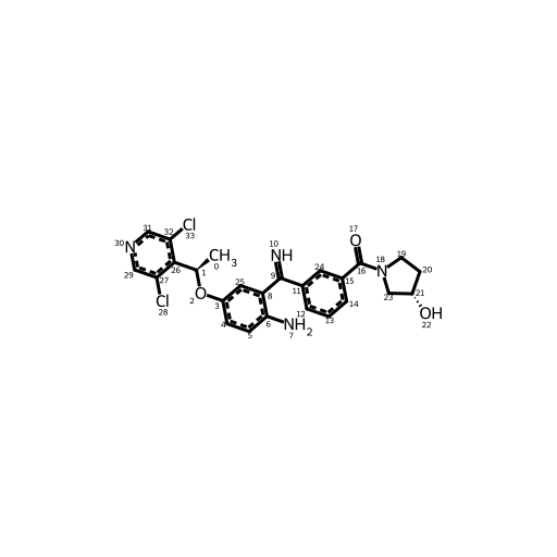 C[C@@H](Oc1ccc(N)c(C(=N)c2cccc(C(=O)N3CC[C@H](O)C3)c2)c1)c1c(Cl)cncc1Cl